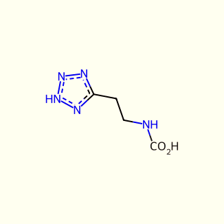 O=C(O)NCCc1nn[nH]n1